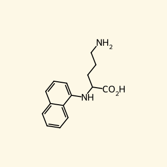 NCCCC(Nc1cccc2ccccc12)C(=O)O